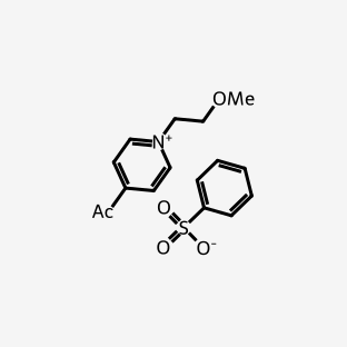 COCC[n+]1ccc(C(C)=O)cc1.O=S(=O)([O-])c1ccccc1